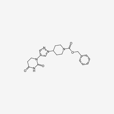 O=C1CCN(c2cnn(C3CCN(C(=O)OCc4ccccc4)CC3)c2)C(=O)N1